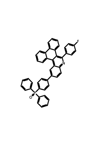 O=P(c1ccccc1)(c1ccccc1)c1ccc(-c2ccc3nc(-c4ccc(F)cc4)c4c5ccccc5c5ccccc5c4c3c2)cc1